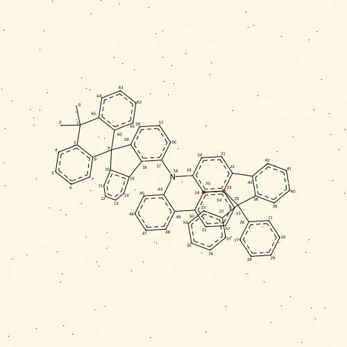 CC1(C)c2ccccc2C2(c3ccccc3-c3c(N(c4ccc5c(c4)C(c4ccccc4)(c4ccccc4)c4ccccc4-5)c4ccccc4-c4ccccc4)cccc32)c2ccccc21